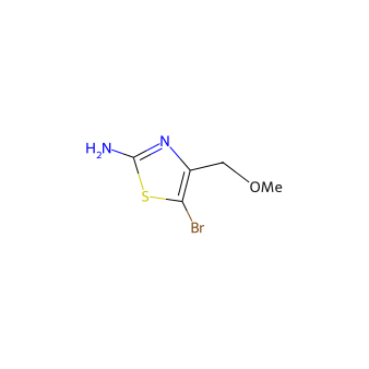 COCc1nc(N)sc1Br